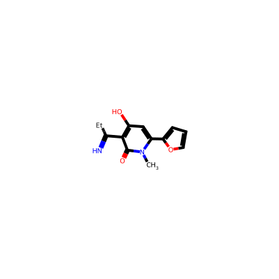 CCC(=N)c1c(O)cc(-c2ccco2)n(C)c1=O